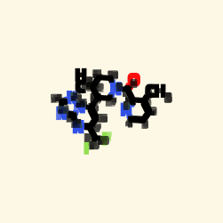 Cc1cccnc1C(=O)N1CC[C@@H](C)[C@H](c2cc(C(F)F)nc3ncnn23)C1